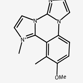 COc1ccc2c(c1C)c1n(cc[n+]1C)c1nccn21